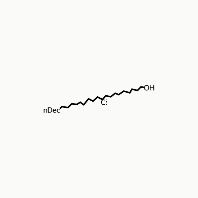 CCCCCCCCCCCCCCCCCCCCCCCCCCCCCO.[C]